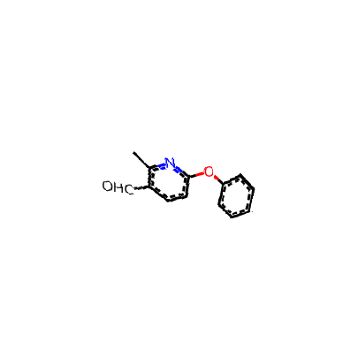 Cc1nc(Oc2cc[c]cc2)ccc1C=O